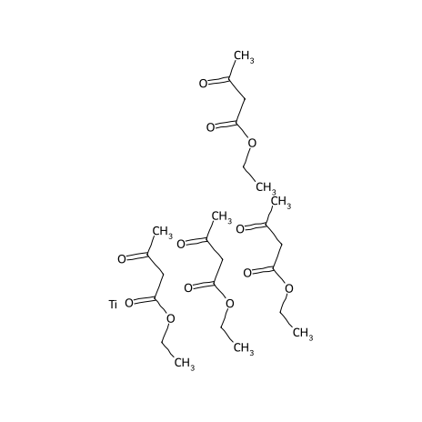 CCOC(=O)CC(C)=O.CCOC(=O)CC(C)=O.CCOC(=O)CC(C)=O.CCOC(=O)CC(C)=O.[Ti]